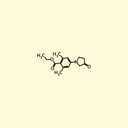 CCOC(=O)c1c(C)cc(N2CCC(=O)C2)cc1C